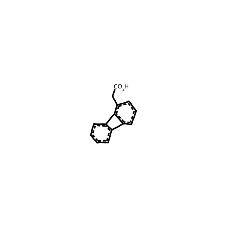 O=C(O)Cc1cccc2c1-c1ccccc1-2